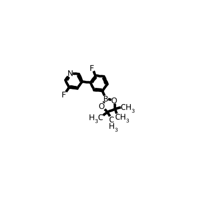 CC1(C)OB(c2ccc(F)c(-c3cncc(F)c3)c2)OC1(C)C